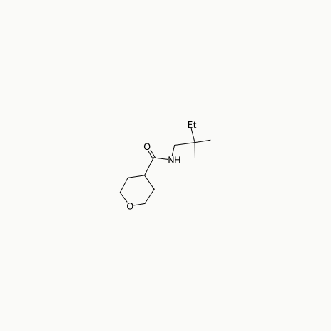 CCC(C)(C)CNC(=O)C1CCOCC1